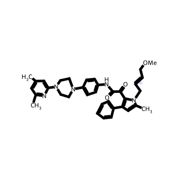 COC/C=C/Cn1c(C)cc(-c2ccccc2)c1C(=O)C(=O)Nc1ccc(N2CCN(c3cc(C)cc(C)n3)CC2)cc1